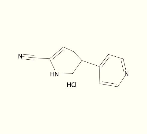 Cl.N#CC1=CCC(c2ccncc2)CN1